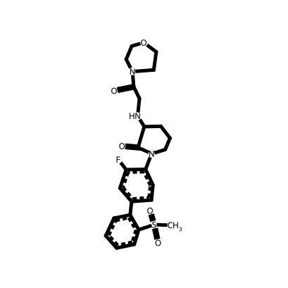 CS(=O)(=O)c1ccccc1-c1ccc(N2CCCC(NCC(=O)N3CCOCC3)C2=O)c(F)c1